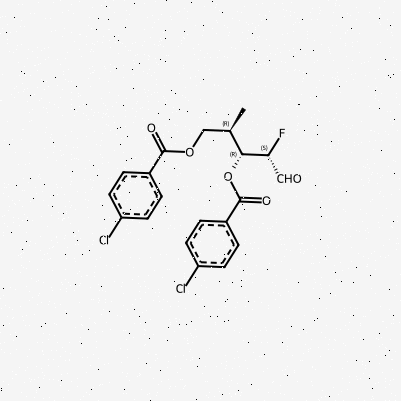 C[C@H](COC(=O)c1ccc(Cl)cc1)[C@@H](OC(=O)c1ccc(Cl)cc1)[C@H](F)C=O